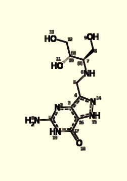 Nc1nc2c(CN[C@H](CO)[C@H](O)CO)n[nH]c2c(=O)[nH]1